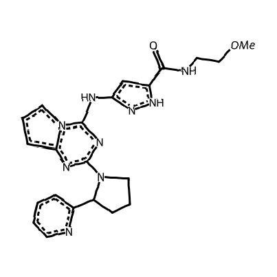 COCCNC(=O)c1cc(Nc2nc(N3CCCC3c3ccccn3)nc3cccn23)n[nH]1